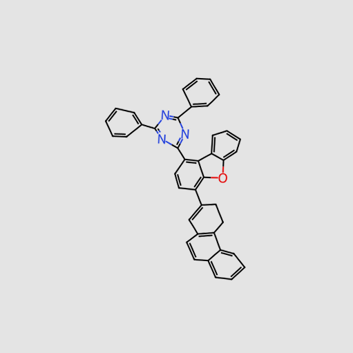 C1=C(c2ccc(-c3nc(-c4ccccc4)nc(-c4ccccc4)n3)c3c2oc2ccccc23)CCc2c1ccc1ccccc21